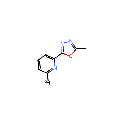 [2H]c1cccc(-c2nnc(C)o2)n1